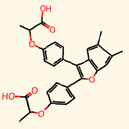 Cc1cc2oc(-c3ccc(OC(C)C(=O)O)cc3)c(-c3ccc(OC(C)C(=O)O)cc3)c2cc1C